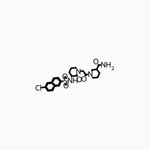 NC(=O)C1CCCN(C(=O)CN2CCC[C@H](NS(=O)(=O)c3ccc4cc(Cl)ccc4c3)C2=O)C1